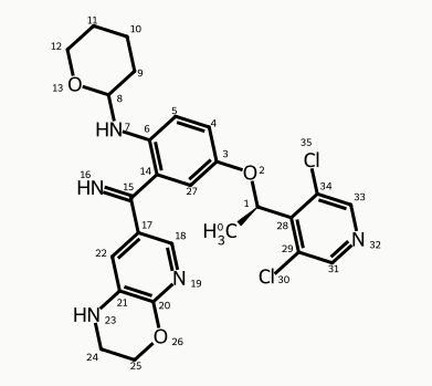 C[C@@H](Oc1ccc(NC2CCCCO2)c(C(=N)c2cnc3c(c2)NCCO3)c1)c1c(Cl)cncc1Cl